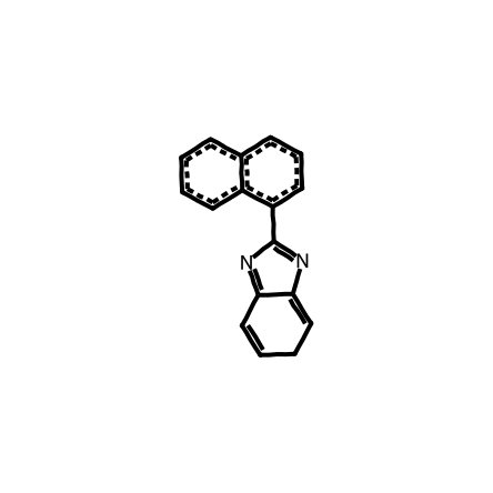 C1=CC2=NC(c3cccc4ccccc34)=NC2=CC1